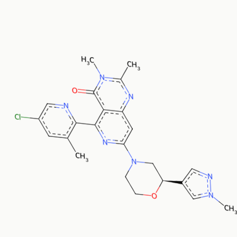 Cc1cc(Cl)cnc1-c1nc(N2CCO[C@H](c3cnn(C)c3)C2)cc2nc(C)n(C)c(=O)c12